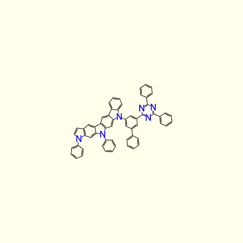 c1ccc(-c2cc(-c3nc(-c4ccccc4)nc(-c4ccccc4)n3)cc(-n3c4ccccc4c4cc5c6cc7ccn(-c8ccccc8)c7cc6n(-c6ccccc6)c5cc43)c2)cc1